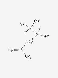 C=C(C)C(=O)O.CC(C)C(F)(F)C(O)(F)C(F)(F)F